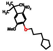 COc1cc(C(C)(C)C#N)c([N+](=O)[O-])cc1OCCCC1CCCC1